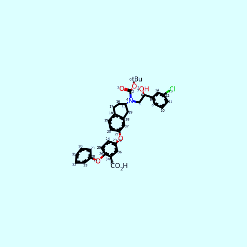 CC(C)(C)OC(=O)N(C[C@@H](O)c1cccc(Cl)c1)[C@H]1CCc2ccc(Oc3ccc(Oc4ccccc4)c(C(=O)O)c3)cc2C1